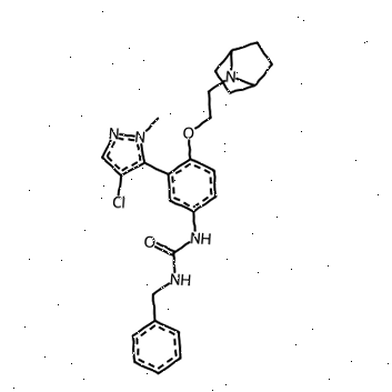 Cn1ncc(Cl)c1-c1cc(NC(=O)NCc2ccccc2)ccc1OCCN1C2CCC1CC2